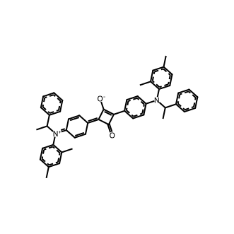 Cc1ccc(N(c2ccc(C3=C([O-])C(=C4C=CC(=[N+](c5ccc(C)cc5C)C(C)c5ccccc5)C=C4)C3=O)cc2)C(C)c2ccccc2)c(C)c1